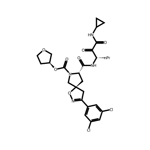 CCC[C@H](NC(=O)[C@@H]1C[C@]2(CC(c3cc(Cl)cc(Cl)c3)=NO2)CN1C(=O)O[C@H]1CCOC1)C(=O)C(=O)NC1CC1